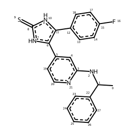 CC(Nc1cc(-c2[nH]c(=S)[nH]c2-c2ccc(F)cc2)ccn1)c1ccccc1